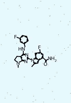 Cc1cc2c(C(N)=O)cc(F)cc2n1-c1nc(NCc2cccc(F)c2)c2c(n1)N(C)CC2